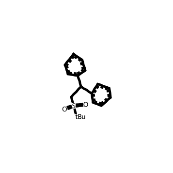 CC(C)(C)S(=O)(=O)CC(c1ccccc1)c1ccccc1